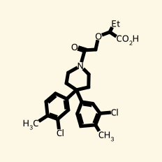 CCC(OCC(=O)N1CCC(c2ccc(C)c(Cl)c2)(c2ccc(C)c(Cl)c2)CC1)C(=O)O